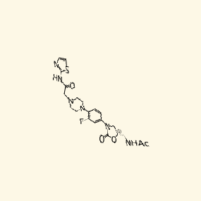 CC(=O)NC[C@H]1CN(c2ccc(N3CCN(CC(=O)Nc4nccs4)CC3)c(F)c2)C(=O)O1